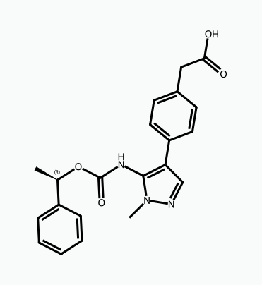 C[C@@H](OC(=O)Nc1c(-c2ccc(CC(=O)O)cc2)cnn1C)c1ccccc1